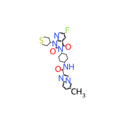 Cc1ccc2nc(C(=O)NC3CCC(n4c(=O)c5cc(F)cnc5n(C5CCSCC5)c4=O)CC3)cn2c1